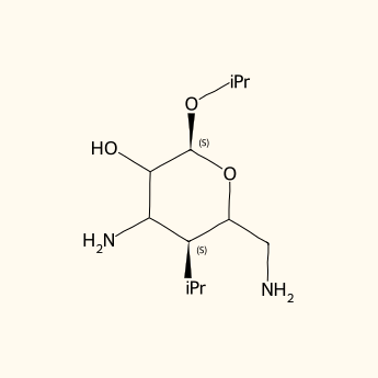 CC(C)O[C@H]1OC(CN)[C@@H](C(C)C)C(N)C1O